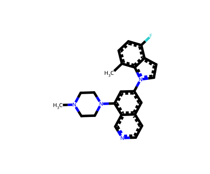 Cc1ccc(F)c2ccn(-c3cc(N4CCN(C)CC4)c4cnccc4c3)c12